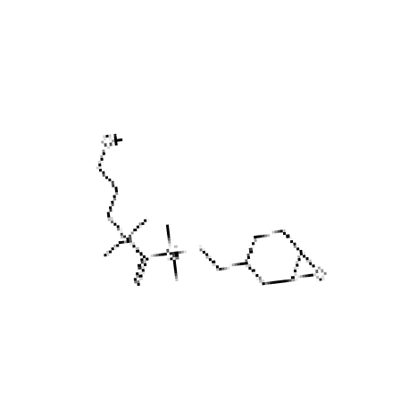 C=C([Si](C)(C)CCCO)[Si](C)(C)CCC1CCC2OC2C1